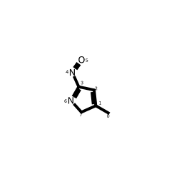 CC1=CC(N=O)=NC1